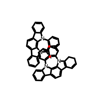 C1=Cc2c(n(-c3cccc(-n4c5ccccc5c5ccc6c7ccccc7n(-c7ccccc7)c6c54)n3)c3c2ccc2c4ccccc4n(-c4ccccc4)c23)CC1